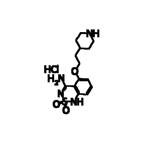 Cl.NC1=NS(=O)(=O)Nc2cccc(OCCC3CCNCC3)c21